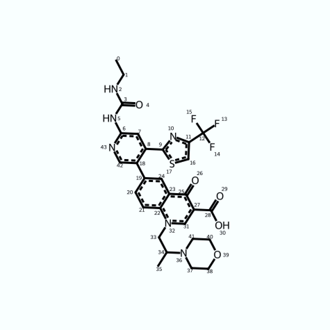 CCNC(=O)Nc1cc(-c2nc(C(F)(F)F)cs2)c(-c2ccc3c(c2)c(=O)c(C(=O)O)cn3CC(C)N2CCOCC2)cn1